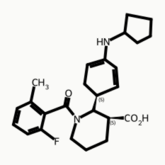 Cc1cccc(F)c1C(=O)N1CCC[C@H](C(=O)O)C1[C@@H]1C=CC(NC2CCCC2)=CC1